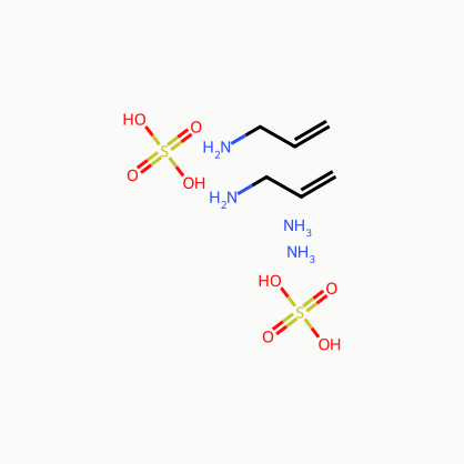 C=CCN.C=CCN.N.N.O=S(=O)(O)O.O=S(=O)(O)O